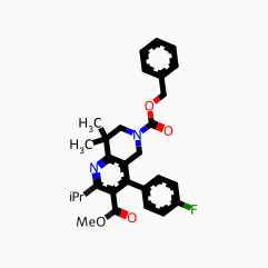 COC(=O)c1c(C(C)C)nc2c(c1-c1ccc(F)cc1)CN(C(=O)OCc1ccccc1)CC2(C)C